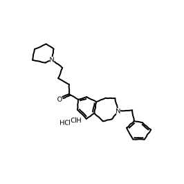 Cl.Cl.O=C(CCCN1CCCCC1)c1ccc2c(c1)CCN(Cc1ccccc1)CC2